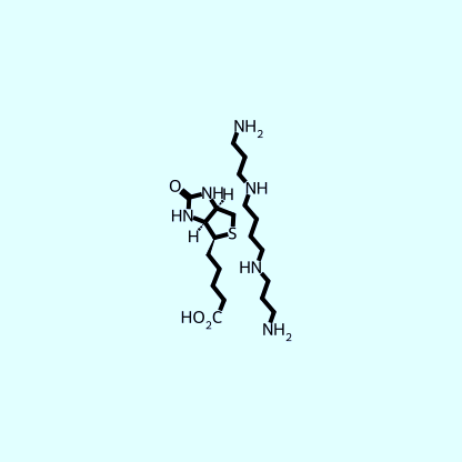 NCCCNCCCCNCCCN.O=C(O)CCCC[C@@H]1SC[C@@H]2NC(=O)N[C@@H]21